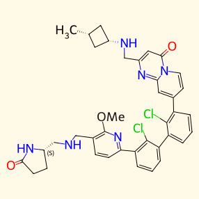 COc1nc(-c2cccc(-c3cccc(-c4ccn5c(=O)cc(CN[C@H]6C[C@@H](C)C6)nc5c4)c3Cl)c2Cl)ccc1CNC[C@@H]1CCC(=O)N1